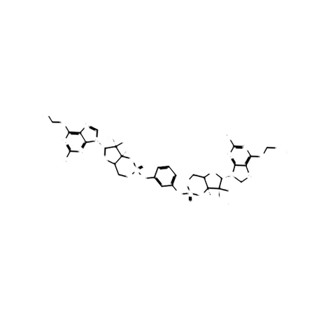 CCOc1nc(N)nc2c1NCN2[C@@H]1O[C@@H]2COP(=O)(Oc3cccc(OP4(=O)OCC5O[C@@H](n6cnc7c(OCC)nc(N)nc76)[C@](C)(F)[C@@H]5O4)c3)O[C@H]2[C@@]1(C)F